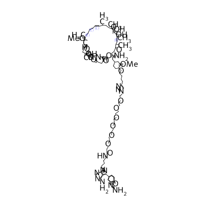 COC1C[C@@H]2CC[C@@H](C)[C@@](O)(O2)C(=O)C(=O)N2CCCC[C@H]2C(=O)OC([C@H](N)CC2CCC(OCCCCc3cn(CCOCCOCCOCCOCCOCCOCCC(=O)NCCCCn4nc(-c5ccc6oc(N)nc6c5)c5c(N)ncnc54)nn3)[C@H](OC)C2)CC(=O)C(C)/C=C(\C)C(O)[C@@H](O)C(=O)C(C)CC(C)/C=C/C=C/C=C/1C